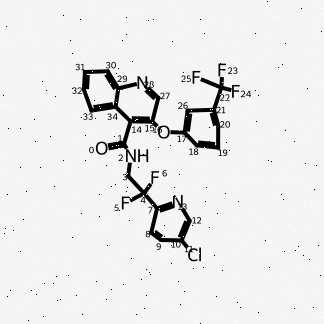 O=C(NCC(F)(F)c1ccc(Cl)cn1)c1c(Oc2cccc(C(F)(F)F)c2)cnc2ccccc12